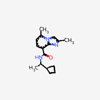 Cc1cn2c(C)ccc(C(=O)N[C@H](C)C3CCC3)c2n1